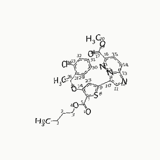 CCCCOC(=O)c1sc(-c2cnc3ccc(C(=O)OC)nn23)cc1O[C@H](C)c1ccccc1Cl